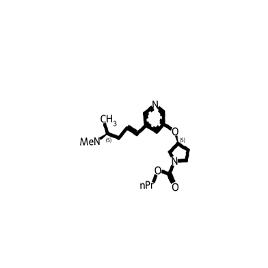 CCCOC(=O)N1CC[C@H](Oc2cncc(C=CC[C@H](C)NC)c2)C1